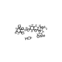 COC[C@@H]1CCCN1C(=O)C(CN)Cc1ccc(OCCOc2c(Cl)cc(C)cc2Cl)cc1.Cl